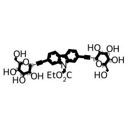 CCOC(=O)Cn1c2cc(C#C[C@H]3O[C@H](CO)[C@@H](O)[C@H](O)[C@@H]3O)ccc2c2ccc(C#C[C@H]3O[C@H](CO)[C@@H](O)[C@H](O)[C@@H]3O)cc21